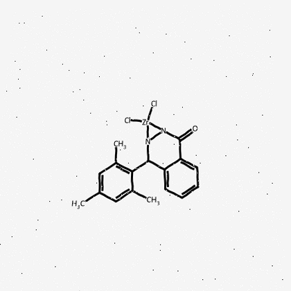 Cc1cc(C)c(C2c3ccccc3C(=O)[N]3[N]2[Zr]3([Cl])[Cl])c(C)c1